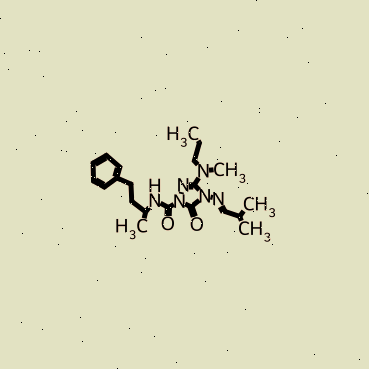 CCCN(C)c1nn(C(=O)NC(C)CCc2ccccc2)c(=O)n1N=CC(C)C